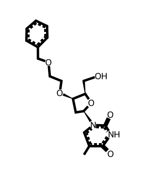 Cc1cn([C@H]2C[C@@H](OCCOCc3ccccc3)[C@@H](CO)O2)c(=O)[nH]c1=O